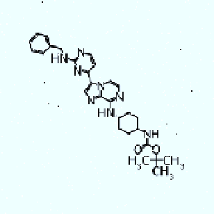 CC(C)(C)OC(=O)N[C@H]1CC[C@H](Nc2nccn3c(-c4ccnc(NCc5ccccc5)n4)cnc23)CC1